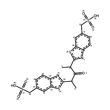 CC(C(=O)C(C)c1nc2ccc(CS(=O)(=O)O)cc2s1)c1nc2ccc(CS(=O)(=O)O)cc2s1